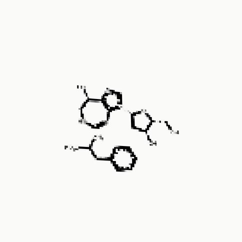 NC(Cc1ccccc1)C(=O)O.OC[C@H]1O[C@@H](n2cnc3c2N=CNC[C@H]3O)C[C@@H]1O